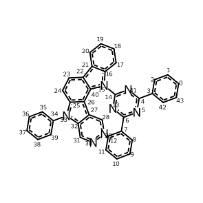 c1ccc(-c2nc(-c3ccccc3)nc(-n3c4ccccc4c4ccc5c(c6cnncc6n5-c5ccccc5)c43)n2)cc1